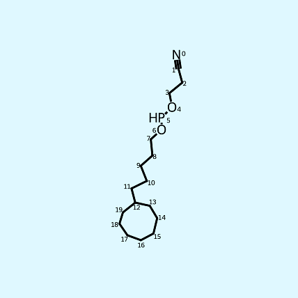 N#CCCOPOCCCCCC1CCCCCCC1